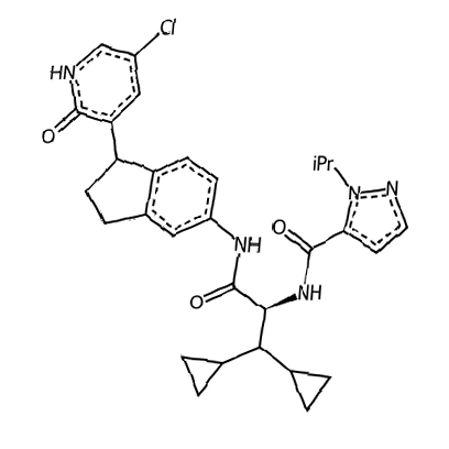 CC(C)n1nccc1C(=O)N[C@H](C(=O)Nc1ccc2c(c1)CCC2c1cc(Cl)c[nH]c1=O)C(C1CC1)C1CC1